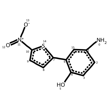 Nc1ccc(O)c(-c2ccc([N+](=O)[O-])s2)c1